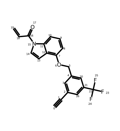 C#Cc1cc(COc2cccc3c2ccn3C(=O)C=C)cc(C(F)(F)F)c1